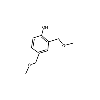 COCc1ccc(O)c(COC)c1